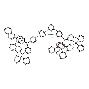 CC1(C)c2cc(N(c3ccc4c(c3)C3(c5ccccc5-4)c4ccccc4-c4cc5c6ccccc6c6ccccc6c5cc43)c3ccc4oc5ccccc5c4c3)ccc2-c2cccc(-c3ccc(-c4ccc(N(c5ccc(-c6ccc7ccccc7c6)cc5)c5ccc6c(c5)C5(c7ccccc7-6)c6ccccc6-c6c5cc5c7c(cccc67)-c6ccccc6-5)cc4)cc3)c21